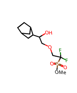 COS(=O)(=O)C(F)(F)COCC(O)C1CC2CCC1C2